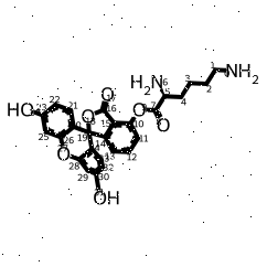 NCCCC[C@H](N)C(=O)Oc1cccc2c1C(=O)OC21c2ccc(O)cc2Oc2cc(O)ccc21